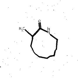 CC1CCCCCCNC1=O